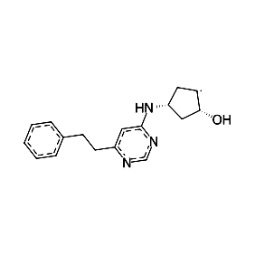 O[C@H]1[CH]C[C@@H](Nc2cc(CCc3ccccc3)ncn2)C1